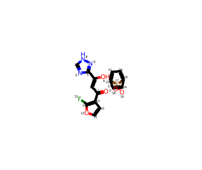 O=C(C=C(O)c1nc[nH]n1)c1ccoc1F.O=S1(=O)C2=CC=C1C=C2